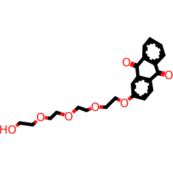 O=C1c2ccccc2C(=O)c2cc(OCCOCCOCCOCCO)ccc21